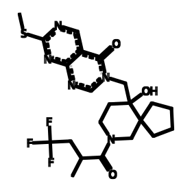 CSc1ncc2c(=O)n(CC3(O)CCN(C(=O)C(C)CC(F)(F)F)CC34CCCC4)cnc2n1